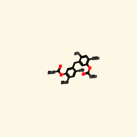 CCCc1cc(OC)c(OC(=O)OC)cc1Cc1cc(OC(=O)OC)c(OC)cc1CCC